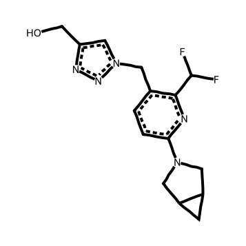 OCc1cn(Cc2ccc(N3CC4CC4C3)nc2C(F)F)nn1